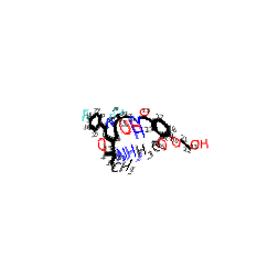 CC[C@@]1(N)COc2c1cc(C(O)(CNC(=O)c1ccc(OCCO)c(OC)c1)C(F)(F)F)nc2-c1ccc(F)cc1